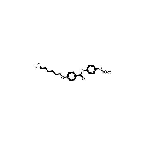 C=CCCCCCOc1ccc(C(=O)Oc2ccc(OCCCCCCCC)cc2)cc1